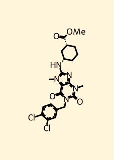 COC(=O)[C@@H]1CCC[C@H](Nc2nc3c(c(=O)n(Cc4ccc(Cl)c(Cl)c4)c(=O)n3C)n2C)C1